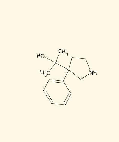 CC(C)(O)C1(c2ccccc2)CCNC1